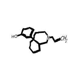 C=CCN1CCC2(c3cccc(O)c3)CCCCC2C1